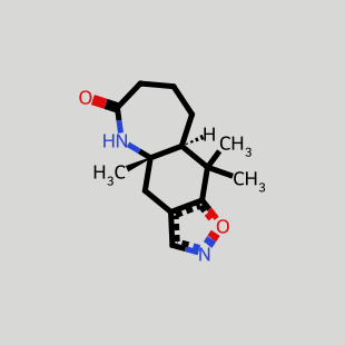 CC1(C)c2oncc2C[C@]2(C)NC(=O)CCC[C@@H]12